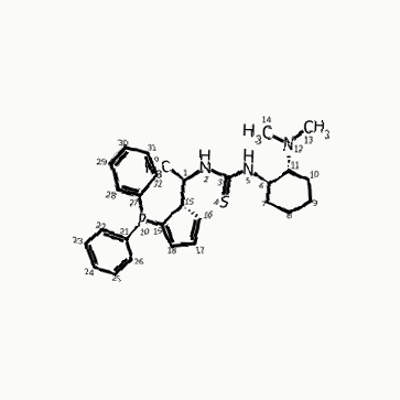 C[C@@H](NC(=S)N[C@@H]1CCCC[C@H]1N(C)C)[C@@H]1C=CC=C1P(c1ccccc1)c1ccccc1